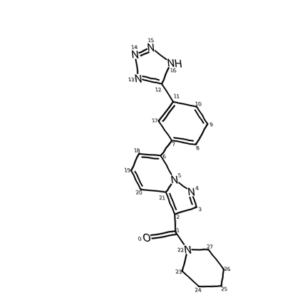 O=C(c1cnn2c(-c3cccc(-c4nnn[nH]4)c3)cccc12)N1CCCCC1